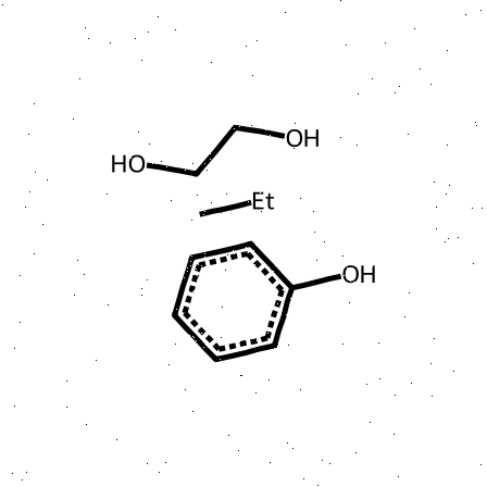 CCC.OCCO.Oc1ccccc1